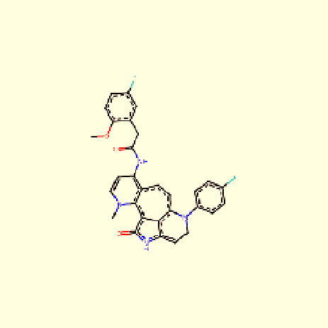 COc1ccc(F)cc1CC(=O)NC1=c2ccc3c4c([nH]c(=O)c-4c2N(C)C=C1)=CCN3c1ccc(F)cc1